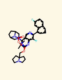 CC(C)(C)OC(=O)N1C2CCC1CN(c1nc(OCC34CCCN3CCC4)nc3c(F)c(-c4cccc5ccc(F)cc45)ncc13)C2